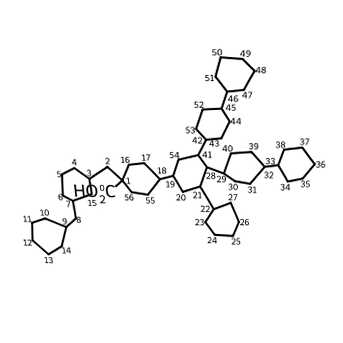 O=C(O)C1(CC2CCCC(CC3CCCCC3)C2)CCC(C2CC(C3CCCCC3)C(C3CCC(C4CCCCC4)CC3)C(C3CCC(C4CCCCC4)CC3)C2)CC1